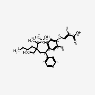 CCCCC1(CC)CC(c2ccccc2)c2cc(Br)c(OC=C(F)C(=O)O)cc2S(O)(O)C1C